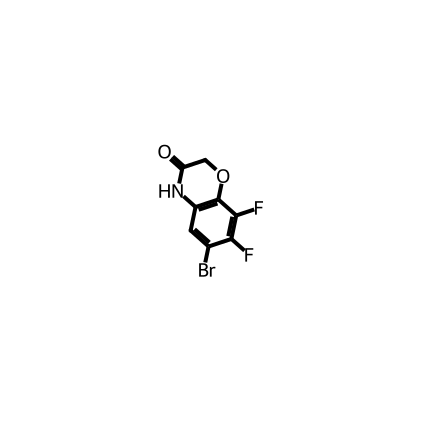 O=C1COc2c(cc(Br)c(F)c2F)N1